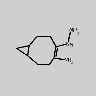 NN/C1=C(\N)CCC2CC2CC1